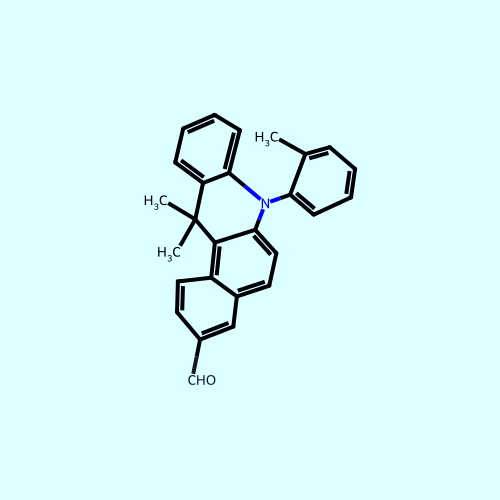 Cc1ccccc1N1c2ccccc2C(C)(C)c2c1ccc1cc(C=O)ccc21